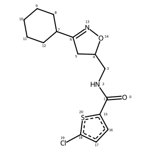 O=C(NCC1CC(C2CCCCC2)=NO1)c1ccc(Cl)s1